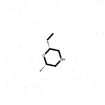 CC[C@@H]1CNC[C@H](C)O1